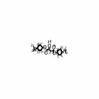 CN(C)c1ccc(OC(=O)CC(O)C(=O)Oc2ccc(N(C)C)cc2)cc1